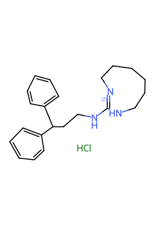 Cl.c1ccc(C(CCN/C2=N\CCCCCCN2)c2ccccc2)cc1